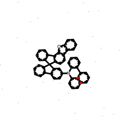 c1ccc(-c2ccccc2N(c2ccccc2)c2ccc3c(c2)C2(c4ccccc4-3)c3ccccc3-c3c2ccc2c3oc3ccccc32)cc1